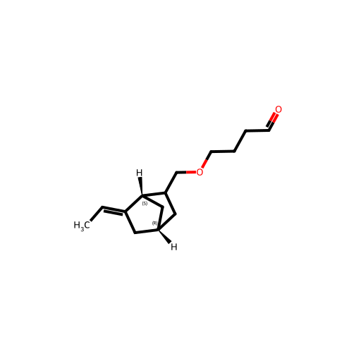 CC=C1C[C@H]2CC(COCCCC=O)[C@@H]1C2